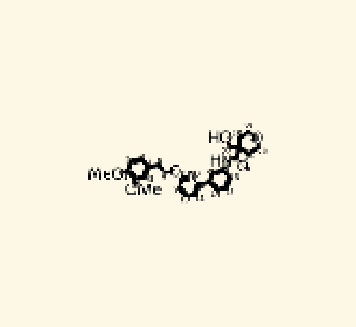 COc1ccc(CCOc2cccc(-c3cccc(NC(=O)C4(CO)CCOCC4)c3)n2)cc1OC